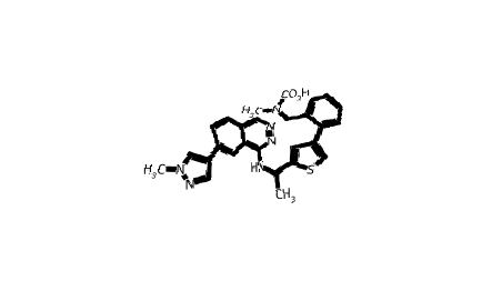 CC(Nc1nncc2ccc(-c3cnn(C)c3)cc12)c1cc(-c2ccccc2CN(C)C(=O)O)cs1